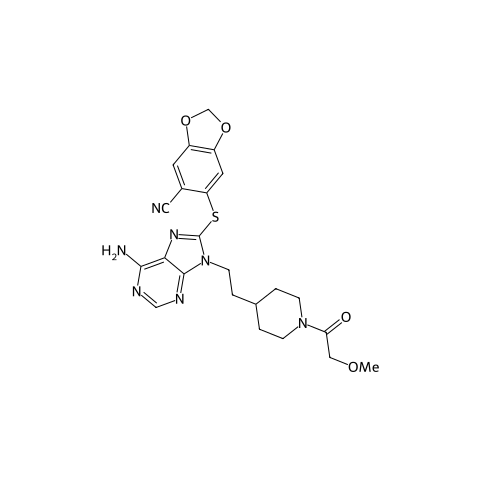 COCC(=O)N1CCC(CCn2c(Sc3cc4c(cc3C#N)OCO4)nc3c(N)ncnc32)CC1